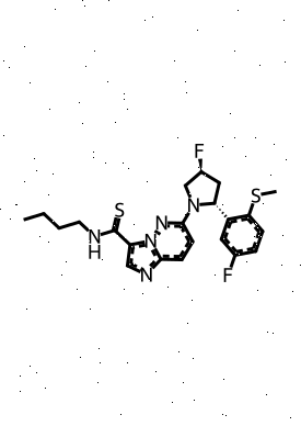 CCCCNC(=S)c1cnc2ccc(N3C[C@@H](F)C[C@@H]3c3cc(F)ccc3SC)nn12